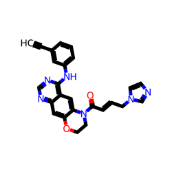 C#Cc1cccc(Nc2ncnc3cc4c(cc23)N(C(=O)/C=C/Cn2ccnc2)CCO4)c1